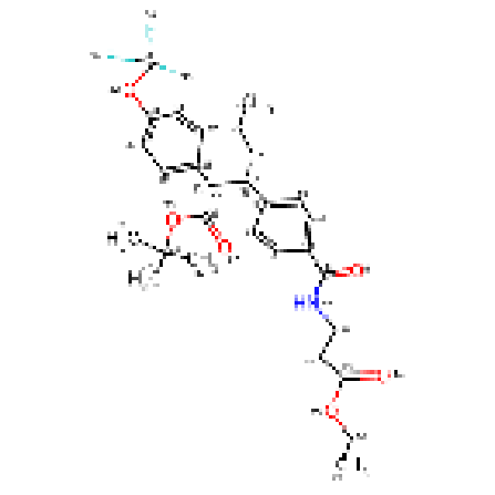 CCC[C@H](c1ccc(C(=O)NCCC(=O)OCC)cc1)[C@H](C(=O)OC(C)(C)C)c1ccc(OC(F)(F)F)cc1